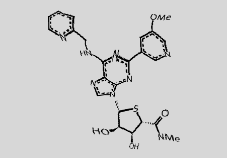 CNC(=O)[C@H]1S[C@@H](n2cnc3c(NCc4ccccn4)nc(-c4cncc(OC)c4)nc32)[C@H](O)[C@@H]1O